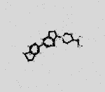 O=C(O)C1CCN(C2CCc3cc(-c4ccc5c(c4)CCC5)ccc32)CC1